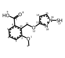 COc1cccc(C(=O)O)c1COc1ccn(S)n1